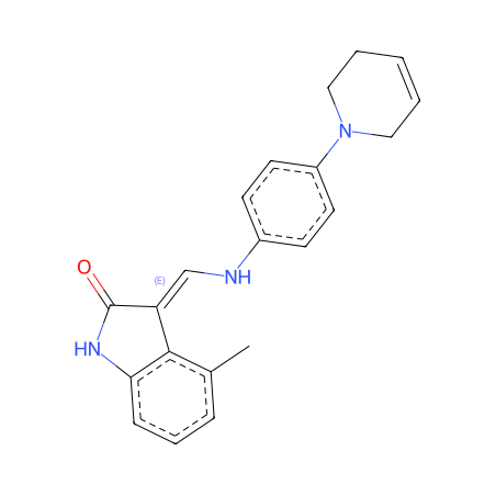 Cc1cccc2c1/C(=C\Nc1ccc(N3CC=CCC3)cc1)C(=O)N2